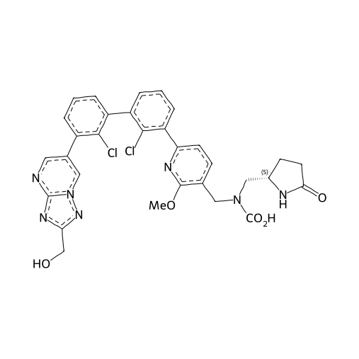 COc1nc(-c2cccc(-c3cccc(-c4cnc5nc(CO)nn5c4)c3Cl)c2Cl)ccc1CN(C[C@@H]1CCC(=O)N1)C(=O)O